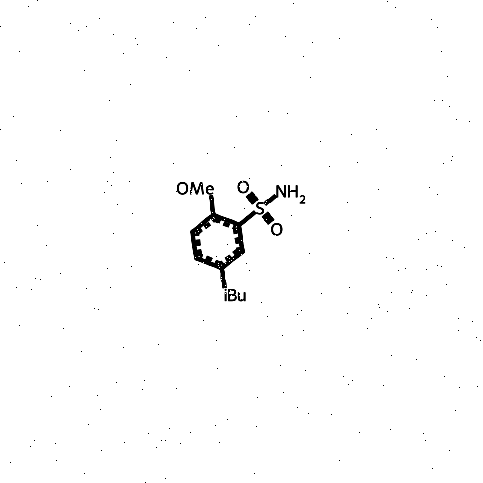 CCC(C)c1ccc(OC)c(S(N)(=O)=O)c1